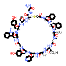 CCCC[C@H]1C(=O)N(C)CC(=O)N[C@@H](CC(=O)O)C(=O)N[C@@H](C(C)C)C(=O)N[C@@H](Cc2ccncc2)C(=O)N[C@@H](Cc2ccc(O)cc2)C(=O)N(C)CC(=O)N[C@@H](Cc2c[nH]c3ccccc23)C(=O)N[C@@H](Cc2ccc(O)cc2)C(=O)N[C@@H](CC(C)C)C(=O)N[C@H](C(=O)NCC(N)=O)CSCC(=O)N[C@@H](Cc2ccccc2)C(=O)N(C)[C@@H](Cc2ccccc2)C(=O)N1C